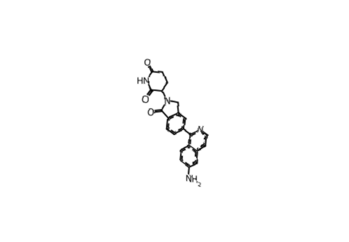 Nc1ccc2c(-c3ccc4c(c3)CN(C3CCC(=O)NC3=O)C4=O)nccc2c1